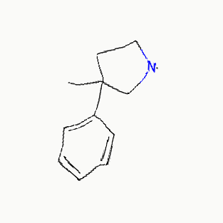 CC1(c2ccccc2)CC[N]C1